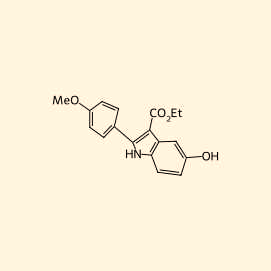 CCOC(=O)c1c(-c2ccc(OC)cc2)[nH]c2ccc(O)cc12